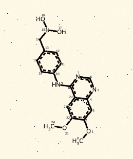 COc1cc2ncnc(Nc3ccc(CB(O)O)cc3)c2cc1OC